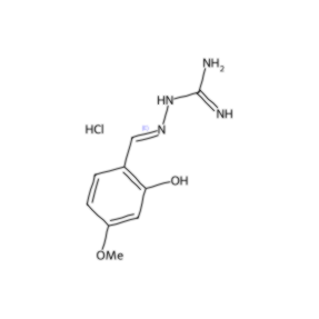 COc1ccc(/C=N/NC(=N)N)c(O)c1.Cl